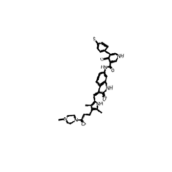 Cc1[nH]c(/C=C2\C(=O)Nc3cc(NC(=O)c4c[nH]cc(-c5ccc(F)cc5)c4=O)ccc32)c(C)c1CCC(=O)N1CCN(C)CC1